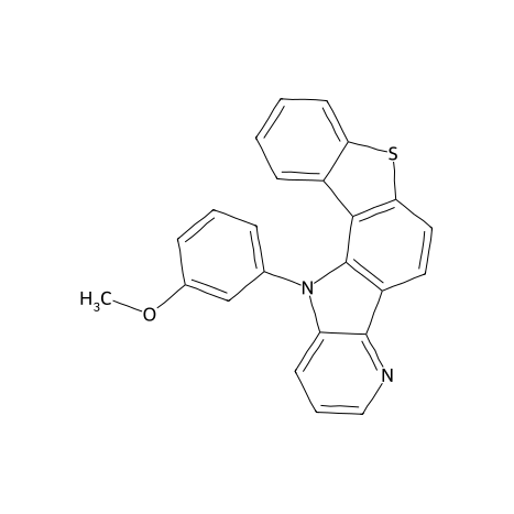 COc1cccc(-n2c3cccnc3c3ccc4sc5ccccc5c4c32)c1